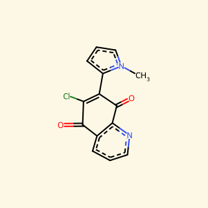 Cn1cccc1C1=C(Cl)C(=O)c2cccnc2C1=O